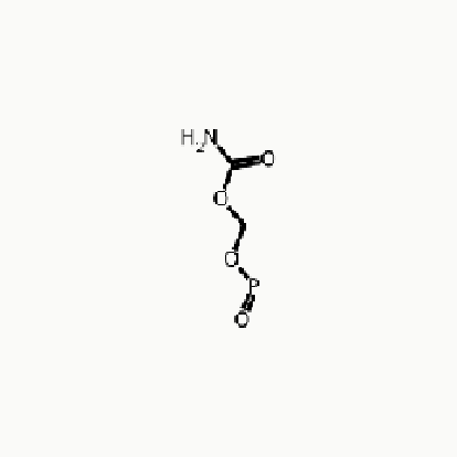 NC(=O)OCOP=O